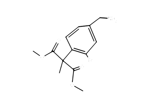 COC(=O)C(C)(C(=O)OC)c1ccc(CN)cc1Br